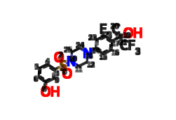 O=S(=O)(c1cccc(O)c1)N1CCN(c2ccc(C(O)(C(F)(F)F)C(F)(F)F)cc2)CC1